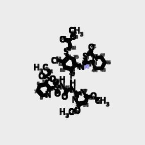 CCS(=O)(=O)c1cccnc1S(=O)(=O)NC(=O)Nc1nc(OC)cc(OC)n1.COC(=O)CSc1cc(/N=c2\sc(=O)n3n2CCCC3)c(F)cc1Cl